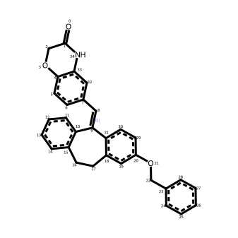 O=C1COc2ccc(/C=C3\c4ccccc4CCc4cc(OCc5ccccc5)ccc43)cc2N1